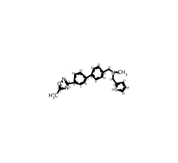 Cc1nc(-c2ccc(-c3ccc(CN(C)Cc4cccs4)cc3)cc2)no1